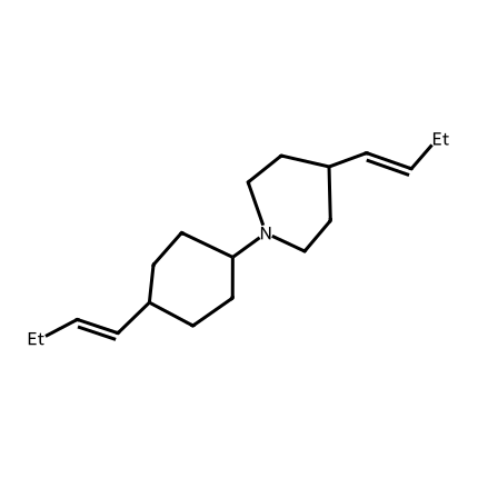 CC/C=C/C1CCC(N2CCC(/C=C/CC)CC2)CC1